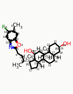 Cc1cc2oc(CCC(C)[C@H]3CC[C@H]4[C@@H]5CC[C@@H]6C[C@H](O)CC[C@]6(C)[C@H]5C[C@H](O)[C@]34C)nc2cc1F